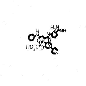 N=C(N)c1ccc2[nH]c(C(CC(=O)NC3CCCCC3)N(OC(=O)C(=O)O)C3CCN(c4ccncc4)CC3)nc2c1